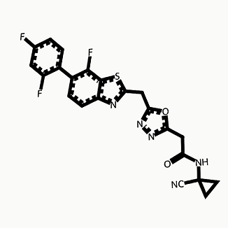 N#CC1(NC(=O)Cc2nnc(Cc3nc4ccc(-c5ccc(F)cc5F)c(F)c4s3)o2)CC1